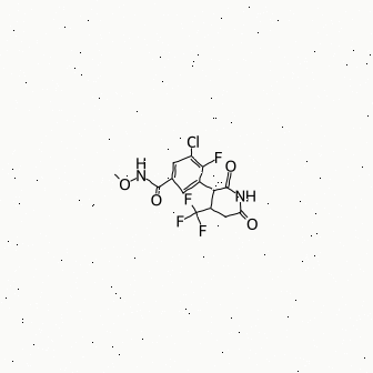 CONC(=O)c1cc(Cl)c(F)c(C2C(=O)NC(=O)CC2C(F)(F)F)c1